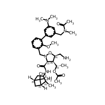 COc1c(CN2O[C@@H](CN)[C@@H]([C@H](C)OC(C)=O)[C@H]2C(=O)NC2C[C@H]3C[C@@H]([C@@H]2C)C3(C)C)cccc1-c1cc(CN(C)C(C)=O)cc(N(C)C)c1